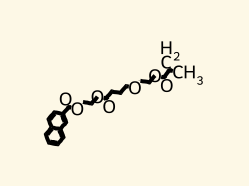 C=C(C)C(=O)OCCOCCCC(=O)OCCOC(=O)c1ccc2ccccc2c1